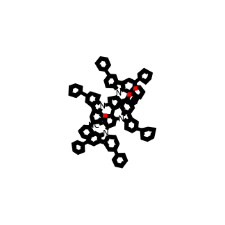 N#Cc1cc(-c2cc(-c3ccccc3)c(-n3c4ccc(-c5ccccc5)cc4c4cc(-c5ccccc5)ccc43)cc2-n2c3ccc(-c4ccccc4)cc3c3cc(-c4ccccc4)ccc32)c(-n2c3ccc(-c4ccccc4)cc3c3cc(-c4ccccc4)ccc32)cc1-n1c2ccc(-c3ccccc3)cc2c2cc(-c3ccccc3)ccc21